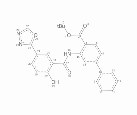 CC(C)(C)OC(=O)c1ccc(-c2ccccc2)cc1NC(=O)c1cc(-c2nnco2)ccc1O